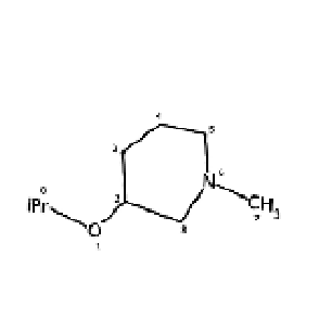 CC(C)OC1CCCN(C)C1